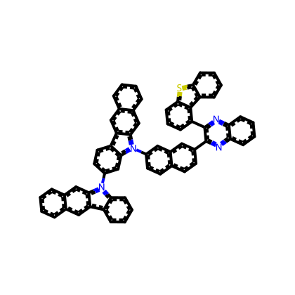 c1ccc2cc3c(cc2c1)c1ccccc1n3-c1ccc2c3cc4ccccc4cc3n(-c3ccc4ccc(-c5nc6ccccc6nc5-c5cccc6sc7ccccc7c56)cc4c3)c2c1